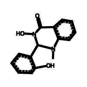 CN1c2ccccc2C(=O)N(O)C1c1ccccc1O